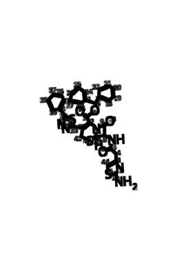 Nc1nc(CC(=O)NC2C(=O)N3C(C(=O)OC(c4ccccc4)c4ccccc4)=C(c4nnc(-c5ccccc5)s4)CS[C@H]23)cs1